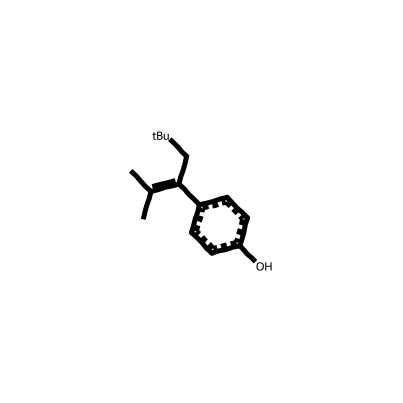 CC(C)=C(CC(C)(C)C)c1ccc(O)cc1